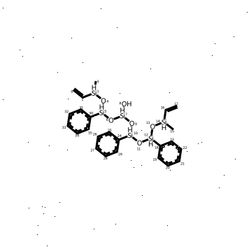 C=C[SiH](C)O[SiH](O[SiH](O)O[SiH](O[SiH](O[SiH](C)C=C)c1ccccc1)c1ccccc1)c1ccccc1